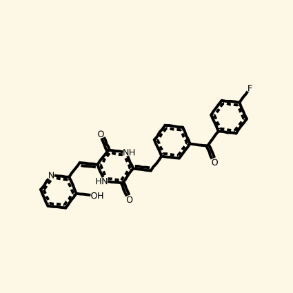 O=C(c1ccc(F)cc1)c1cccc(C=c2[nH]c(=O)c(=Cc3ncccc3O)[nH]c2=O)c1